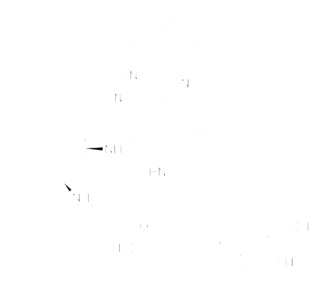 COc1cc2c(cc1NC(=O)c1c(N[C@@H]3CCCC[C@@H]3N)nn3cccnc13)CC(C)(C)O2